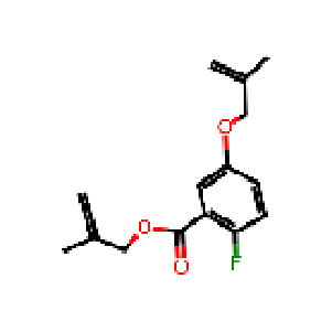 C=C(C)COC(=O)c1cc(OCC(=C)C)ccc1F